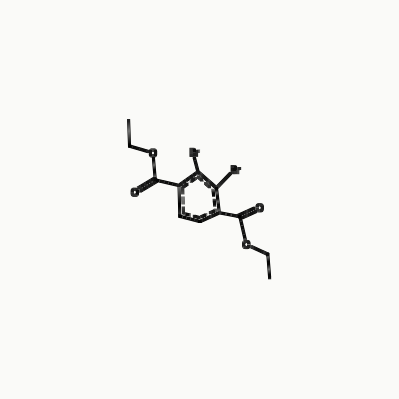 CCOC(=O)c1ccc(C(=O)OCC)c(Br)c1Br